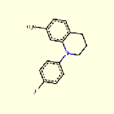 O=[N+]([O-])c1ccc2c(c1)N(c1ccc(C(F)(F)F)cc1)CCC2